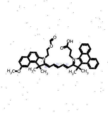 COc1ccc2ccc3c(c2c1)C(C)(C)/C(=C/C=C/C=C/C1=[N+](CCC(=O)O)c2c(c4ccccc4c4ccccc24)C1(C)C)N3CCOC=O